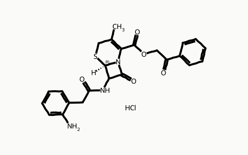 CC1=C(C(=O)OCC(=O)c2ccccc2)N2C(=O)C(NC(=O)Cc3ccccc3N)[C@H]2SC1.Cl